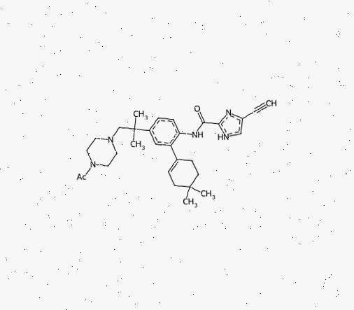 C#Cc1c[nH]c(C(=O)Nc2ccc(C(C)(C)CN3CCN(C(C)=O)CC3)cc2C2=CCC(C)(C)CC2)n1